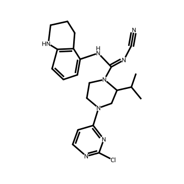 CC(C)C1CN(c2ccnc(Cl)n2)CCN1/C(=N/C#N)Nc1cccc2c1CCCN2